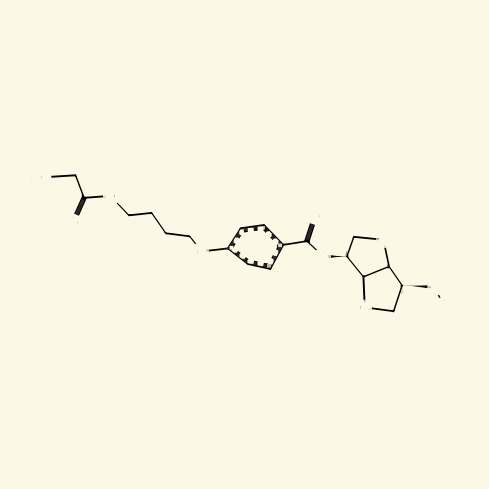 CCC(=O)OCCCCOc1ccc(C(=O)O[C@H]2COC3C2OC[C@@H]3OC)cc1